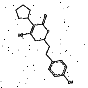 O=C1OC(CCc2ccc(O)cc2)CC(O)=C1C1CCCC1